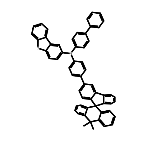 CC1(C)c2ccccc2C2(c3ccccc3-c3cc(-c4ccc(N(c5ccc(-c6ccccc6)cc5)c5ccc6oc7ccccc7c6c5)cc4)ccc32)c2ccccc21